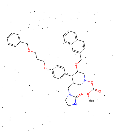 CC(C)(C)OC(=O)ON1CC(CN2CCNC2=O)C(c2ccc(OCCCOCc3ccccc3)cc2)C(OCc2ccc3ccccc3c2)C1